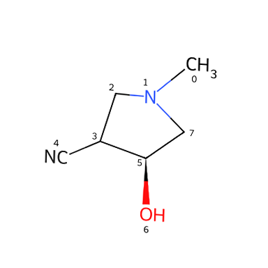 CN1CC(C#N)[C@H](O)C1